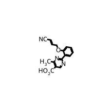 Cc1nc(-c2ccccc2OCC=CC#N)ncc1C(=O)O